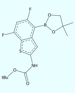 CC(C)(C)OC(=O)Nc1cc2c(B3OCC(C)(C)O3)c(F)cc(F)c2s1